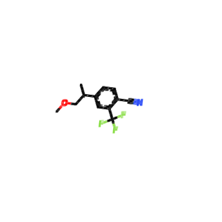 COC[C](C)c1ccc(C#N)c(C(F)(F)F)c1